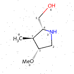 CO[C@H]1CN[C@@H](CO)[C@@H]1C